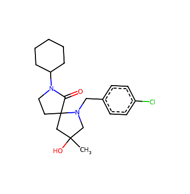 CC1(O)CN(Cc2ccc(Cl)cc2)C2(CCN(C3CCCCC3)C2=O)C1